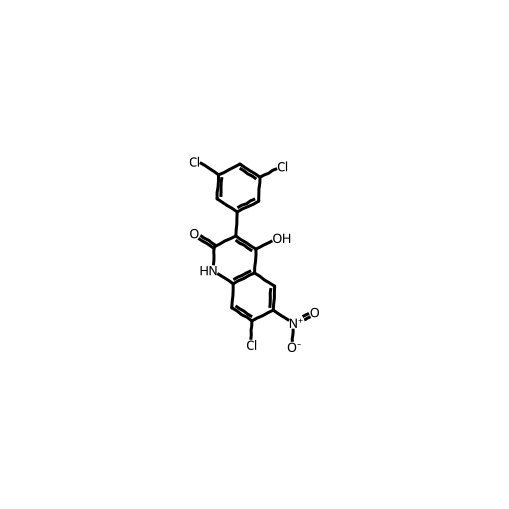 O=c1[nH]c2cc(Cl)c([N+](=O)[O-])cc2c(O)c1-c1cc(Cl)cc(Cl)c1